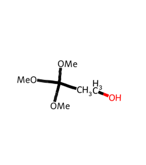 CO.COC(C)(OC)OC